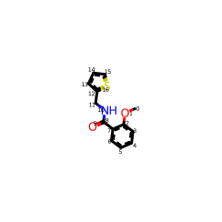 COc1ccccc1C(=O)NCc1cccs1